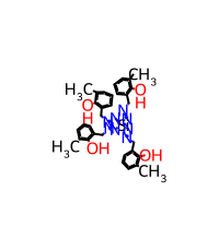 Cc1cccc(C/N=N/[Si](/N=N/Cc2cccc(C)c2O)(/N=N/Cc2cccc(C)c2O)/N=N/Cc2cccc(C)c2O)c1O